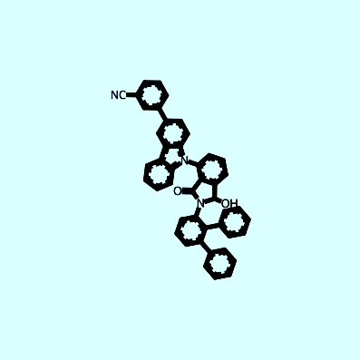 N#Cc1cccc(-c2ccc3c(c2)c2ccccc2n3-c2cccc3c2C(=O)N(c2cccc(-c4ccccc4)c2-c2ccccc2)C3O)c1